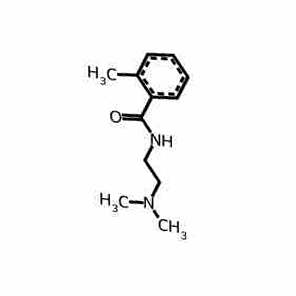 Cc1ccccc1C(=O)NCCN(C)C